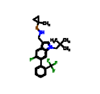 CC(C)(C)Cn1cc(CNSC2(C)CC2)c2cc(F)c(-c3ccccc3C(F)(F)F)cc21